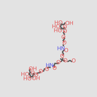 CC(COCCC=O)(COCCC(=O)NCCOCCOCCO[C@H]1OC(CO)[C@@H](O)C(O)[C@H]1O)COCCC(=O)NCCOCCOCCO[C@H]1OC(CO)[C@@H](O)C(O)[C@H]1O